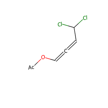 CC(=O)OC=C=CC(Cl)Cl